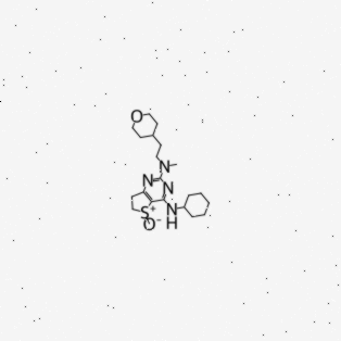 CN(CCC1CCOCC1)c1nc2c(c(NC3CCCCC3)n1)[S+]([O-])CC2